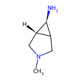 CN1CC2[C@H](N)[C@H]2C1